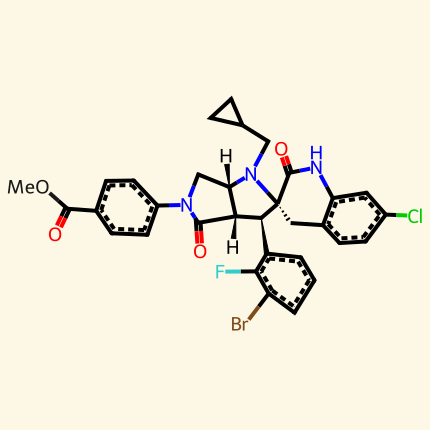 COC(=O)c1ccc(N2C[C@H]3[C@@H](C2=O)[C@H](c2cccc(Br)c2F)[C@@]2(Cc4ccc(Cl)cc4NC2=O)N3CC2CC2)cc1